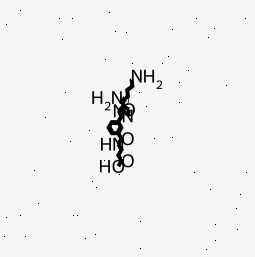 NCCCC[C@H](N)c1nc(-c2cccc(C(=O)NCCC(=O)O)c2)no1